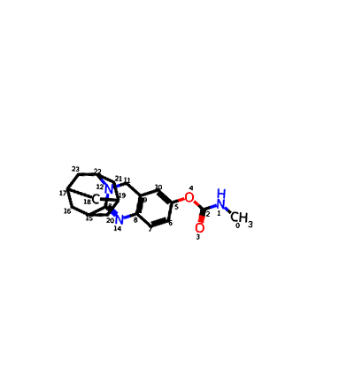 CNC(=O)Oc1ccc2c(c1)CN1C(=N2)C2CC3CC(C2)CC1C3